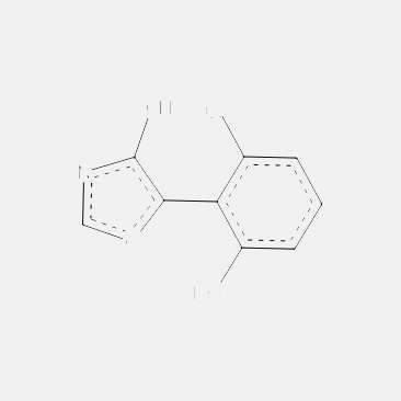 Cc1ncoc1-c1c(O)cccc1Cl